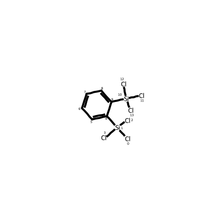 Cl[Si](Cl)(Cl)c1ccccc1[Si](Cl)(Cl)Cl